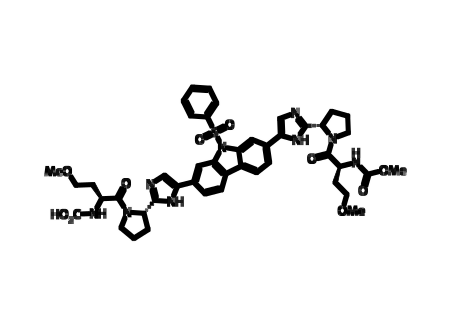 COCC[C@H](NC(=O)O)C(=O)N1CCC[C@H]1c1ncc(-c2ccc3c4ccc(-c5cnc([C@@H]6CCCN6C(=O)[C@H](CCOC)NC(=O)OC)[nH]5)cc4n(S(=O)(=O)c4ccccc4)c3c2)[nH]1